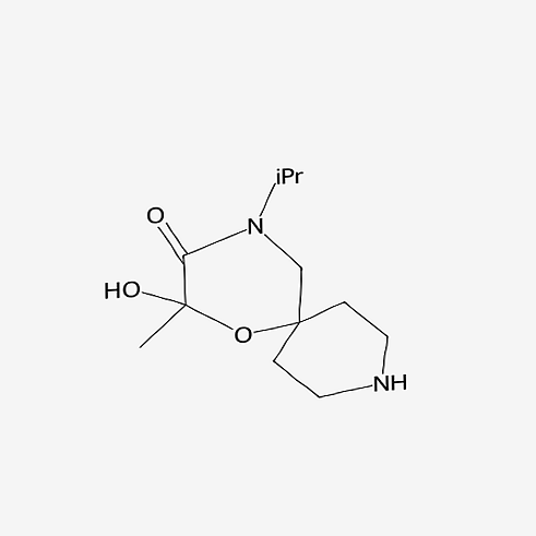 CC(C)N1CC2(CCNCC2)OC(C)(O)C1=O